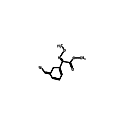 CON=C(C(=O)OC)C1=CC=CC(=CBr)C1